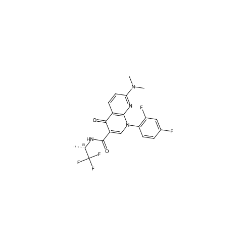 C[C@H](NC(=O)c1cn(-c2ccc(F)cc2F)c2nc(N(C)C)ccc2c1=O)C(F)(F)F